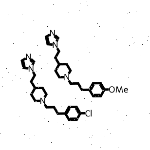 COc1ccc(CCCN2CCC(CCn3ccnc3)CC2)cc1.Clc1ccc(CCCN2CCC(CCn3ccnc3)CC2)cc1